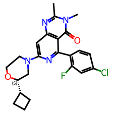 Cc1nc2cc(N3CCO[C@@H](C4CCC4)C3)nc(-c3ccc(Cl)cc3F)c2c(=O)n1C